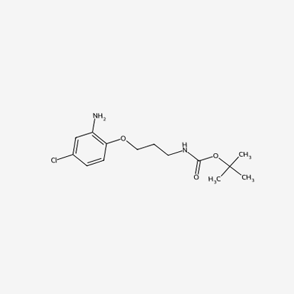 CC(C)(C)OC(=O)NCCCOc1ccc(Cl)cc1N